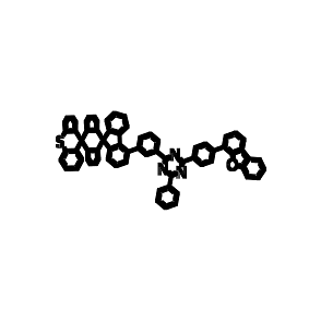 c1ccc(-c2nc(-c3ccc(-c4cccc5c4oc4ccccc45)cc3)nc(-c3cccc(-c4cccc5c4-c4ccccc4C54c5ccccc5C5(c6ccccc6Sc6ccccc65)c5ccccc54)c3)n2)cc1